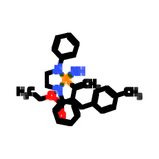 C=C(C(Cc1ccc(C)cc1)C(=O)OCC)P1(=N)N(c2ccccc2)CCN1c1ccccc1